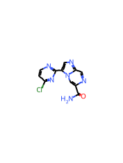 NC(=O)c1cn2c(-c3nccc(Cl)n3)cnc2cn1